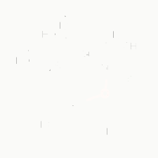 CC1(C)C[Si](C)(C)[Si](C)(C)[Si](C)(Cl)O1